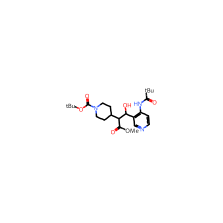 COC(=O)C(C1CCN(C(=O)OC(C)(C)C)CC1)C(O)c1cnccc1NC(=O)C(C)(C)C